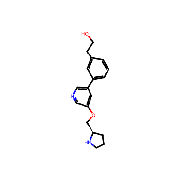 OCCc1cccc(-c2cncc(OC[C@H]3CCCN3)c2)c1